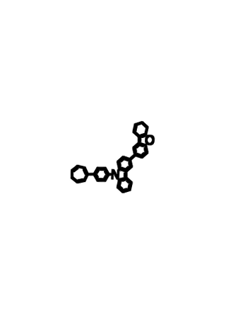 C1=CCC=CC(c2ccc(-n3c4ccccc4c4cc(-c5ccc6oc7c(c6c5)C=CCC7)ccc43)cc2)=C1